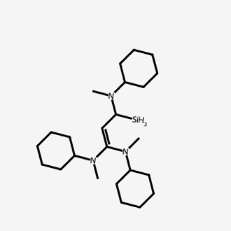 CN(C(=CC([SiH3])N(C)C1CCCCC1)N(C)C1CCCCC1)C1CCCCC1